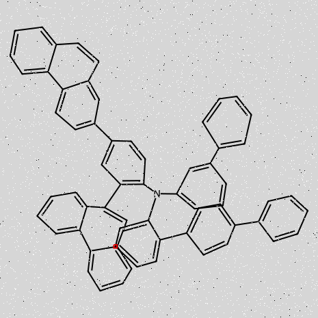 c1ccc(-c2ccc(-c3ccccc3N(c3cccc(-c4ccccc4)c3)c3ccc(-c4ccc5c(ccc6ccccc65)c4)cc3-c3cc4ccccc4c4ccccc34)cc2)cc1